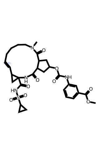 COC(=O)c1cccc(NC(=O)OC2CC3C(=O)NC4(C(=O)NS(=O)(=O)C5CC5)CC4/C=C/CCCCN(C)C(=O)C3C2)c1